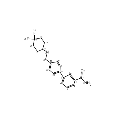 NC(=O)c1cccc(-c2ccc(CNC3CCC(F)(F)CC3)cc2)c1